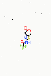 COC(=O)Cc1nc(NC(=O)C(F)(F)F)sc1C